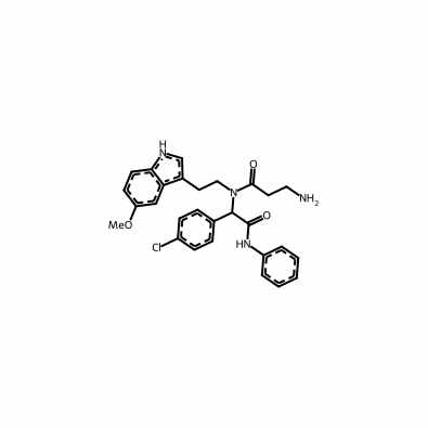 COc1ccc2[nH]cc(CCN(C(=O)CCN)C(C(=O)Nc3ccccc3)c3ccc(Cl)cc3)c2c1